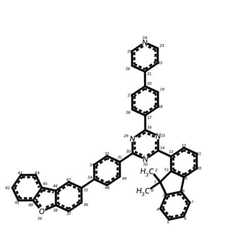 CC1(C)c2ccccc2-c2cccc(-c3nc(-c4ccc(-c5ccncc5)cc4)nc(-c4ccc(-c5ccc6oc7ccccc7c6c5)cc4)n3)c21